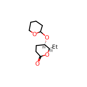 CC[C@@H]1OC(=O)CC[C@@H]1OC1CCCCO1